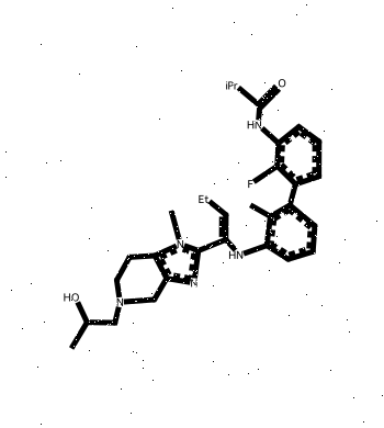 CC/C=C(/Nc1cccc(-c2cccc(NC(=O)C(C)C)c2F)c1C)c1nc2c(n1C)CCN(CC(C)O)C2